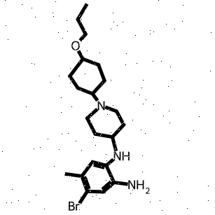 CCCOC1CCC(N2CCC(Nc3cc(C)c(Br)cc3N)CC2)CC1